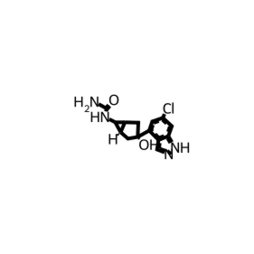 NC(=O)NC1C2C[C@](O)(c3cc(Cl)cc4[nH]ncc34)C[C@H]21